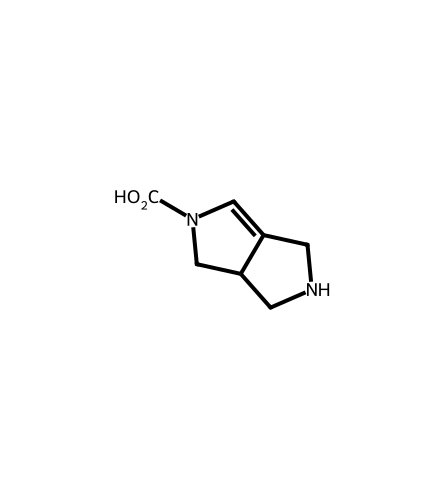 O=C(O)N1C=C2CNCC2C1